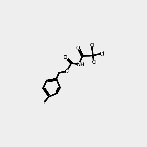 O=C(NC(=O)C(Cl)(Cl)Cl)OCc1ccc(I)cc1